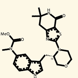 COC(=O)N(C)c1ccc2[nH]cc(C[C@H]3COCCN3c3nc4c(s3)C(=O)NC(C)(C)C4)c2c1